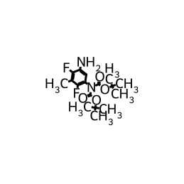 Cc1c(F)c(N)cc(N(C(=O)OC(C)(C)C)C(=O)OC(C)(C)C)c1F